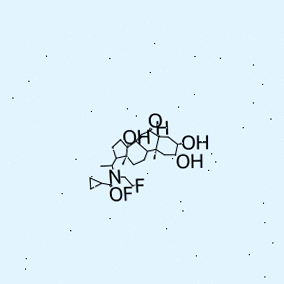 CC(C1CC[C@@]2(O)C3=CC(=O)[C@@H]4C[C@@H](O)[C@@H](O)C[C@]4(C)C3CC[C@]12C)N(CC(F)F)C(=O)C1CC1